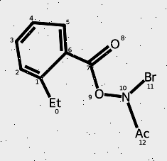 CCc1ccccc1C(=O)ON(Br)C(C)=O